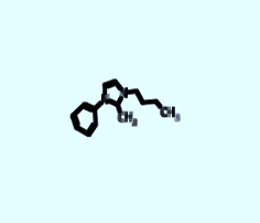 CCCCN1C=CN(c2ccccc2)C1C